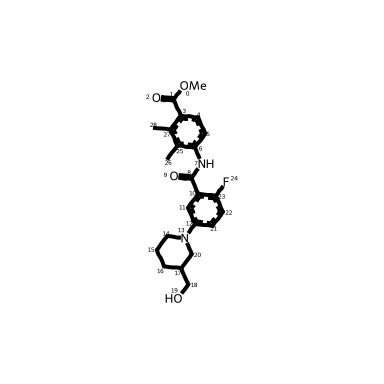 COC(=O)c1ccc(NC(=O)c2cc(N3CCCC(CO)C3)ccc2F)c(C)c1C